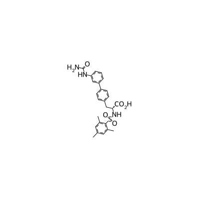 Cc1cc(C)c(S(=O)(=O)N[C@@H](Cc2ccc(-c3cccc(NC(N)=O)c3)cc2)C(=O)O)c(C)c1